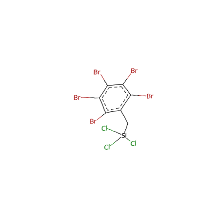 Cl[Si](Cl)(Cl)Cc1c(Br)c(Br)c(Br)c(Br)c1Br